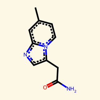 Cc1ccn2c(CC(N)=O)cnc2c1